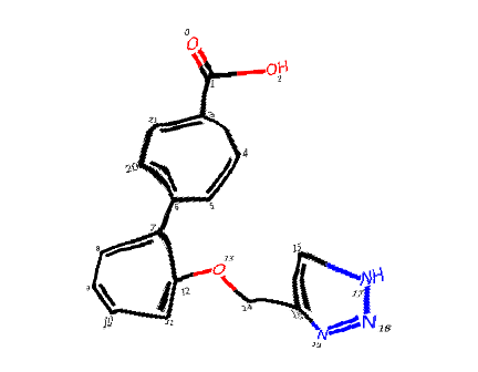 O=C(O)c1ccc(-c2ccccc2OCc2c[nH]nn2)cc1